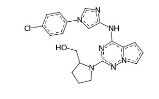 OCC1CCCN1c1nc(Nc2cn(-c3ccc(Cl)cc3)cn2)c2cccn2n1